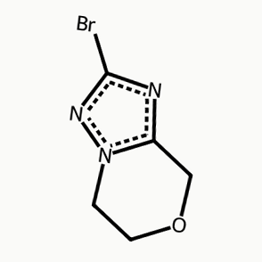 Brc1nc2n(n1)CCOC2